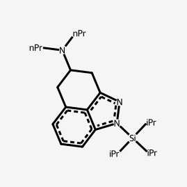 CCCN(CCC)C1Cc2cccc3c2c(nn3[Si](C(C)C)(C(C)C)C(C)C)C1